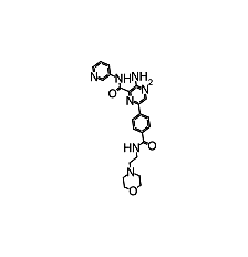 Nc1ncc(-c2ccc(C(=O)NCCN3CCOCC3)cc2)nc1C(=O)Nc1cccnc1